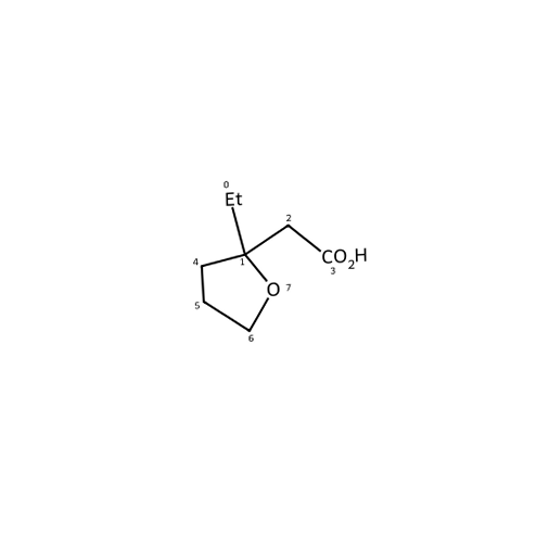 CCC1(CC(=O)O)CCCO1